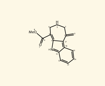 C=C1CNCC(C(=O)OC)=C2N=c3ccccc3=C12